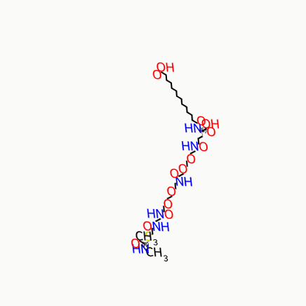 CN[C@@H](CSCC(=O)NCCNC(=O)COCCOCCNC(=O)COCCOCCNC(=O)CC[C@H](NC(=O)CCCCCCCCCCCCC(=O)O)C(=O)O)C(C)=O